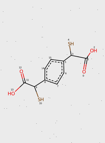 O=C(O)C(S)c1ccc(C(S)C(=O)O)cc1